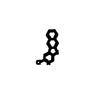 Clc1cc2c(cn1)sc1cc3ccccc3cc12